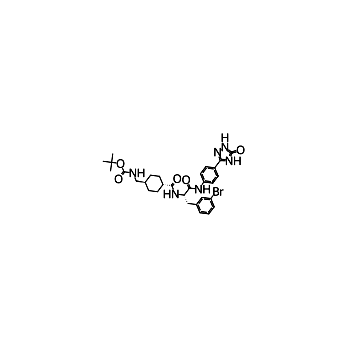 CC(C)(C)OC(=O)NC[C@H]1CC[C@H](C(=O)N[C@@H](Cc2cccc(Br)c2)C(=O)Nc2ccc(-c3n[nH]c(=O)[nH]3)cc2)CC1